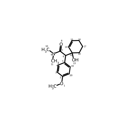 COc1ccc(C(C(=O)N(C)C)C2(O)C=CCCC2)cc1